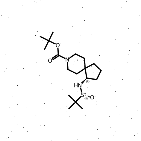 CC(C)(C)OC(=O)N1CCC2(CCC[C@H]2N[S@+]([O-])C(C)(C)C)CC1